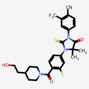 CC1(C)C(=O)N(c2ccc(C#N)c(C(F)(F)F)c2)C(=S)N1c1ccc(C(=O)N2CCC(CCO)CC2)c(F)c1